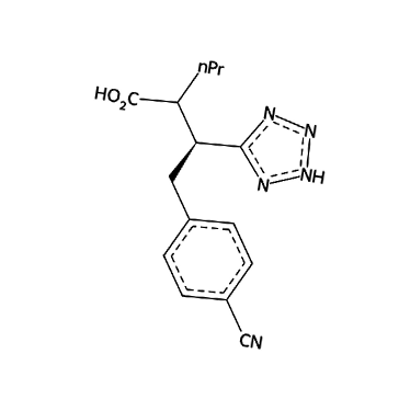 CCCC(C(=O)O)[C@H](Cc1ccc(C#N)cc1)c1nn[nH]n1